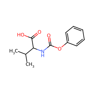 CC(C)C(NC(=O)Oc1ccccc1)C(=O)O